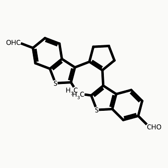 Cc1sc2cc(C=O)ccc2c1C1=C(c2c(C)sc3cc(C=O)ccc23)CCC1